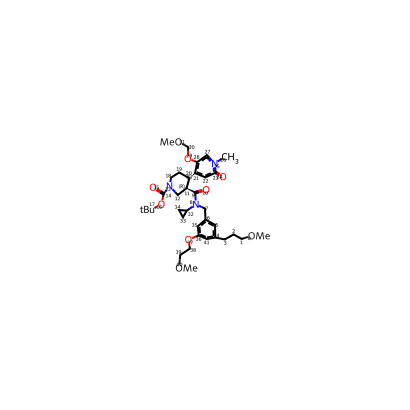 COCCCc1cc(CN(C(=O)[C@H]2CN(C(=O)OC(C)(C)C)CC[C@@H]2c2cc(=O)n(C)cc2OCOC)C2CC2)cc(OCCOC)c1